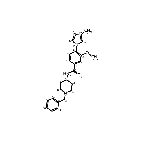 COc1cc(C(=O)NC2CCN(Cc3ccccc3)CC2)ccc1-n1cnc(C)c1